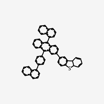 C1=CC2Sc3ccc(-c4ccc5c(-c6cccc7ccccc67)c6ccccc6c(-c6ccc(-c7cccc8ccccc78)cc6)c5c4)cc3C2C=C1